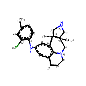 Cc1ccc(Nc2cc3c4c(c2)[C@@H]2CNC[C@@H]2CN4CCC3)c(F)c1